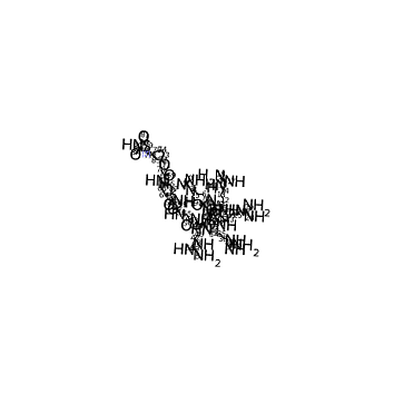 N=C(N)NCCC[C@H](NC(=O)[C@H](CCCNC(=N)N)NC(=O)[C@H](CCCNC(=N)N)NC(=O)[C@H](CCCNC(=N)N)NC(=O)[C@H](CCCNC(=N)N)NC(=O)CNC(=O)CNC(=O)c1ccc(NC(=O)COc2cccc(/C=C3\SC(=O)NC3=O)c2)cc1)C(N)=O